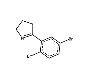 Brc1ccc(Br)c(C2=NCCC2)c1